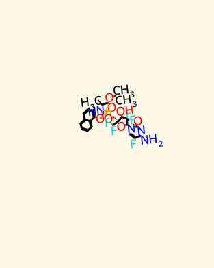 CC(C)OC(=O)[C@H](C)NP(=S)(OC[C@@]1(C(F)F)O[C@@H](n2cc(F)c(N)nc2=O)C(F)(F)[C@@H]1O)Oc1cccc2ccccc12